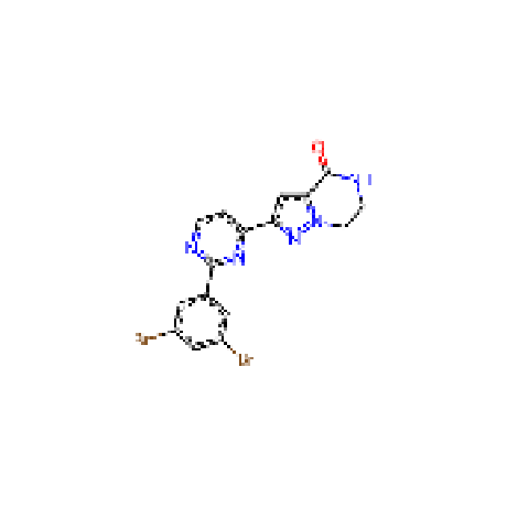 O=C1NCCn2nc(-c3ccnc(-c4cc(Br)cc(Br)c4)n3)cc21